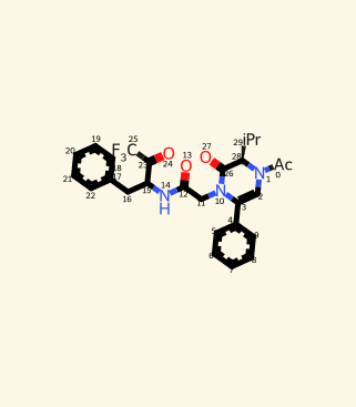 CC(=O)N1C=C(c2ccccc2)N(CC(=O)NC(Cc2ccccc2)C(=O)C(F)(F)F)C(=O)[C@H]1C(C)C